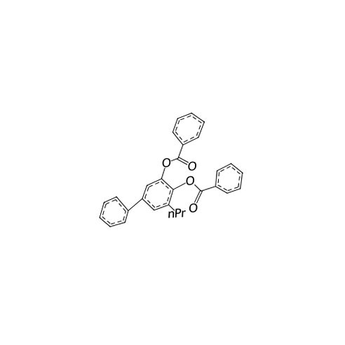 CCCc1cc(-c2ccccc2)cc(OC(=O)c2ccccc2)c1OC(=O)c1ccccc1